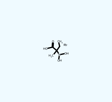 CCC(C)(C(=O)O)N(O)O.[Rb]